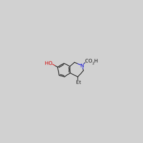 CCC1CN(C(=O)O)Cc2cc(O)ccc21